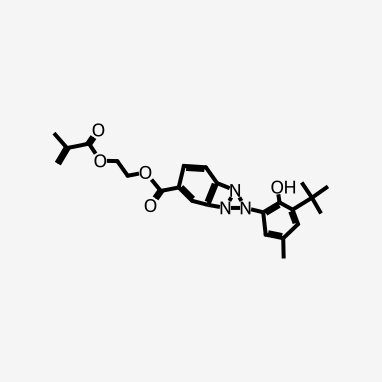 C=C(C)C(=O)OCCOC(=O)c1ccc2c(c1)n1n(-c3cc(C)cc(C(C)(C)C)c3O)n21